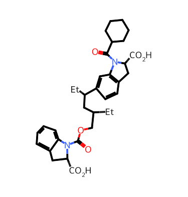 CCC(COC(=O)N1c2ccccc2CC1C(=O)O)CC(CC)c1ccc2c(c1)N(C(=O)C1CCCCC1)C(C(=O)O)C2